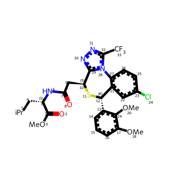 COC(=O)[C@H](CC(C)C)NC(=O)C[C@@H]1S[C@@H](c2cccc(OC)c2OC)c2cc(Cl)ccc2-n2c1nnc2C(F)(F)F